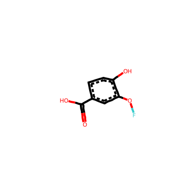 O=C(O)c1ccc(O)c(OF)c1